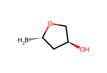 B[C@H]1C[C@H](O)CO1